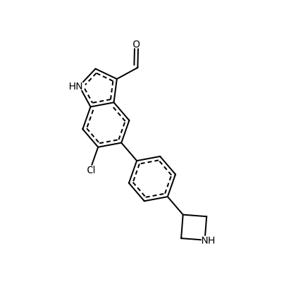 O=Cc1c[nH]c2cc(Cl)c(-c3ccc(C4CNC4)cc3)cc12